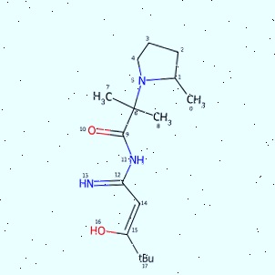 CC1CCCN1C(C)(C)C(=O)NC(=N)/C=C(\O)C(C)(C)C